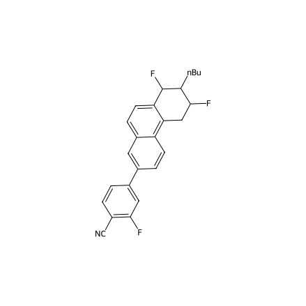 CCCCC1C(F)Cc2c(ccc3cc(-c4ccc(C#N)c(F)c4)ccc23)C1F